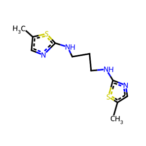 Cc1cnc(NCCCNc2ncc(C)s2)s1